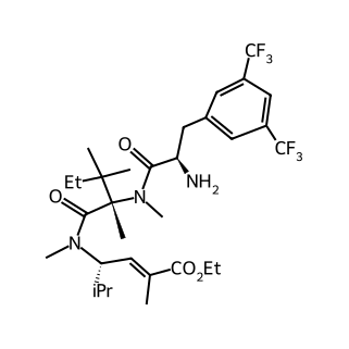 CCOC(=O)/C(C)=C/[C@H](C(C)C)N(C)C(=O)[C@@](C)(N(C)C(=O)[C@H](N)Cc1cc(C(F)(F)F)cc(C(F)(F)F)c1)C(C)(C)CC